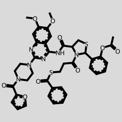 COc1cc2nc(N3CCN(C(=O)c4ccco4)CC3)nc(NC(=O)C3CSC(c4ccccc4OC(C)=O)N3C(=O)CCSC(=O)c3ccccc3)c2cc1OC